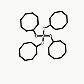 C1CCCC(O[Si](OC2CCCCCCC2)(OC2CCCCCCC2)OC2CCCCCCC2)CCC1